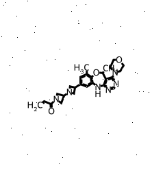 C=CC(=O)N1CC(N2CC(c3cc(C)c4c(c3)Nc3ncnc(N5CCOCC5)c3C(C)O4)C2)C1